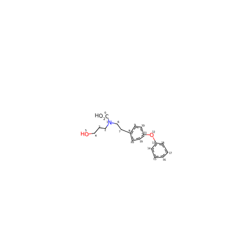 O=C(O)N(CCCO)CCc1ccc(Oc2ccccc2)cc1